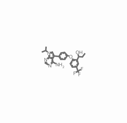 CCC(O)c1cc(C(F)(F)F)ccc1Oc1ccc(-c2cn(C(C)C)c3ncnc(N)c23)cc1